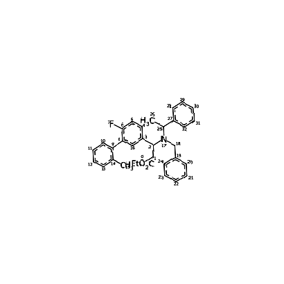 CCOC(=O)CC(c1ccc(F)c(-c2ccccc2C)c1)N(Cc1ccccc1)C(C)c1ccccc1